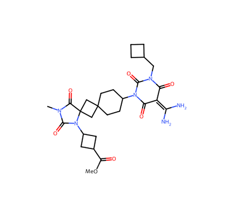 COC(=O)C1CC(N2C(=O)N(C)C(=O)C23CC2(CCC(N4C(=O)C(=C(N)N)C(=O)N(CC5CCC5)C4=O)CC2)C3)C1